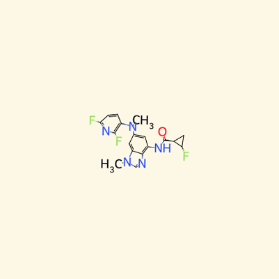 CN(c1cc(NC(=O)[C@H]2C[C@H]2F)c2ncn(C)c2c1)c1ccc(F)nc1F